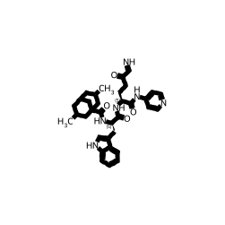 CC1CC2CC(C)CC(C(=O)N[C@@H](Cc3c[nH]c4ccccc34)C(=O)N[C@@H](CCC(=O)C=N)C(=O)Nc3ccncc3)(C1)C2